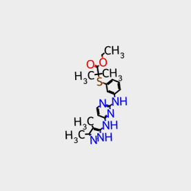 CCOC(=O)C(C)(C)Sc1cccc(Nc2nccc(Nc3[nH]nc(C)c3C)n2)c1